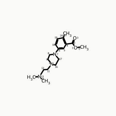 COC(=O)c1cc(N2CCN(CCN(C)C)CC2)ccc1C